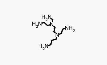 NCCCN(CCN)CCN(CN)CCN